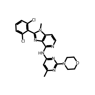 Cc1cc(Nc2nccc3c2nc(-c2c(Cl)cccc2Cl)n3C)nc(N2CCOCC2)n1